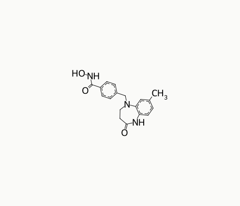 Cc1ccc2c(c1)N(Cc1ccc(C(=O)NO)cc1)CCC(=O)N2